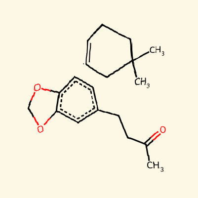 CC(=O)CCc1ccc2c(c1)OCO2.CC1(C)C[C]=CCC1